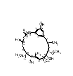 CO[C@H]1C[C@H](C)Cc2cc(O)cc(c2)NC(=O)CC(O)CC[C@H](OC)[C@@H](O)/C(C)=C/[C@H](C)[C@H]1O